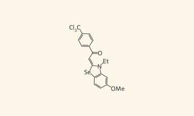 CCN1C(=CC(=O)c2ccc(C(Cl)(Cl)Cl)cc2)[Se]c2ccc(OC)cc21